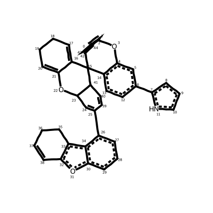 C1=CC2Oc3cc(-c4ccc[nH]4)ccc3C3(C4=CCCC=C4OC4C=C(c5cccc6oc7c(c56)CCC=C7)C=CC43)C2C=C1